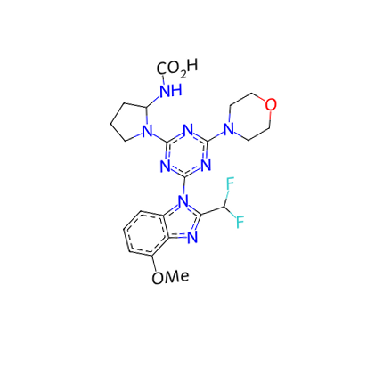 COc1cccc2c1nc(C(F)F)n2-c1nc(N2CCOCC2)nc(N2CCCC2NC(=O)O)n1